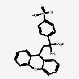 NC(CC1c2ccccc2Oc2ccccc21)(C(=O)O)c1ccc(P(=O)(O)O)cc1